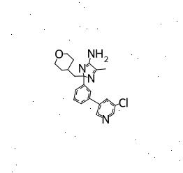 CC1=NC(CC2CCOCC2)(c2cccc(-c3cncc(Cl)c3)c2)N=C1N